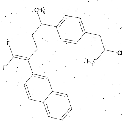 CC(C)Cc1ccc(C(C)CCC(=C(F)F)c2ccc3ccccc3c2)cc1